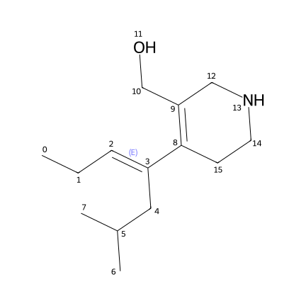 CC/C=C(\CC(C)C)C1=C(CO)CNCC1